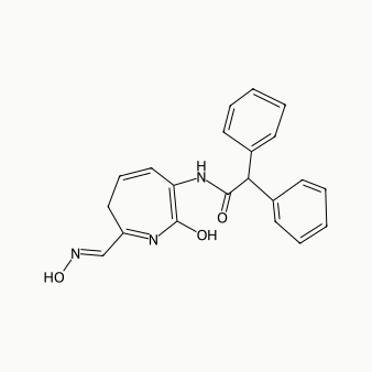 O=C(NC1=C(O)N=C(C=NO)CC=C1)C(c1ccccc1)c1ccccc1